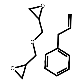 C(OCC1CO1)C1CO1.C=CCc1ccccc1